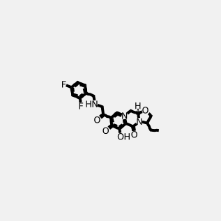 CCC1CO[C@@H]2Cn3cc(C(=O)CNCc4ccc(F)cc4F)c(=O)c(O)c3C(=O)N12